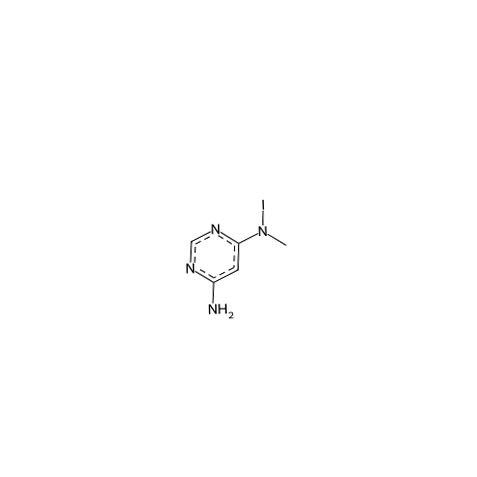 CN(I)c1cc(N)ncn1